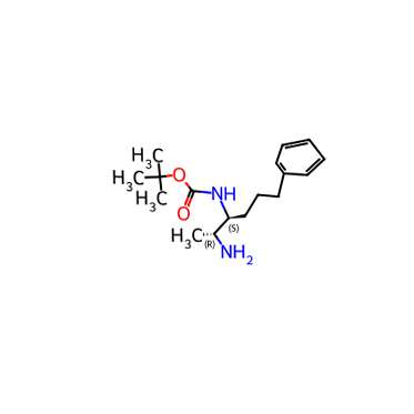 C[C@@H](N)[C@H](CCCc1ccccc1)NC(=O)OC(C)(C)C